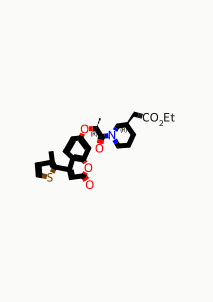 CCOC(=O)C[C@H]1CCCN(C(=O)[C@@H](C)Oc2ccc3c(-c4sccc4C)cc(=O)oc3c2)C1